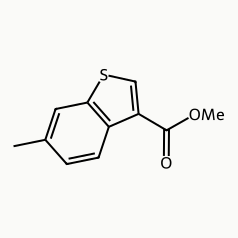 COC(=O)c1csc2cc(C)ccc12